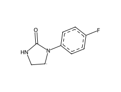 O=C1NC[CH]N1c1ccc(F)cc1